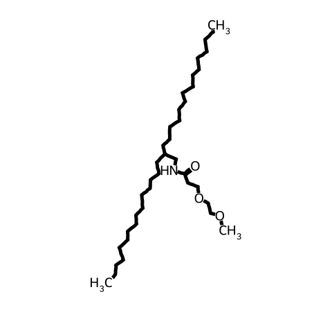 CCCCCCCCCCCCCCCC(CCCCCCCCCCCCCCC)CNC(=O)CCOCCOC